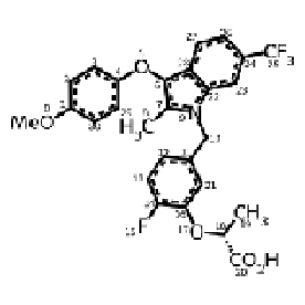 COc1ccc(Oc2c(C)n(Cc3ccc(F)c(O[C@H](C)C(=O)O)c3)c3cc(C(F)(F)F)ccc23)cc1